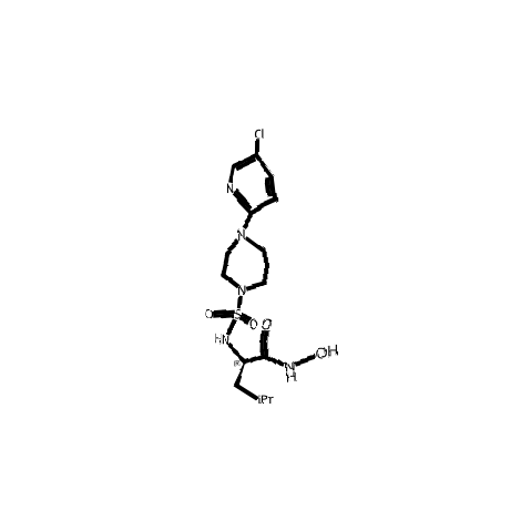 CC(C)C[C@@H](NS(=O)(=O)N1CCN(c2ccc(Cl)cn2)CC1)C(=O)NO